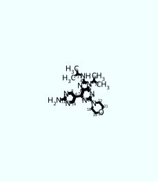 CC(C)Nc1nc2c(-c3cnc(N)nc3)nc(N3CCOCC3)nc2n1C(C)C